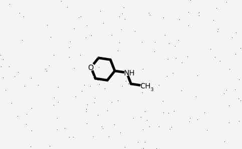 C[CH]NC1CCOCC1